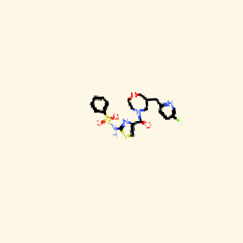 O=C(c1csc(NS(=O)(=O)c2ccccc2)n1)N1CCOCC(Cc2ccc(F)cn2)C1